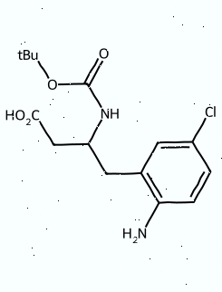 CC(C)(C)OC(=O)NC(CC(=O)O)Cc1cc(Cl)ccc1N